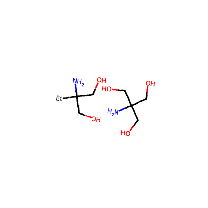 CCC(N)(CO)CO.NC(CO)(CO)CO